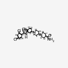 C[C@@H](Nc1cc(N2CCC(N3CCC(C(N)=O)CC3)CC2)ccc1Cl)c1ccc(Cl)cc1Cl